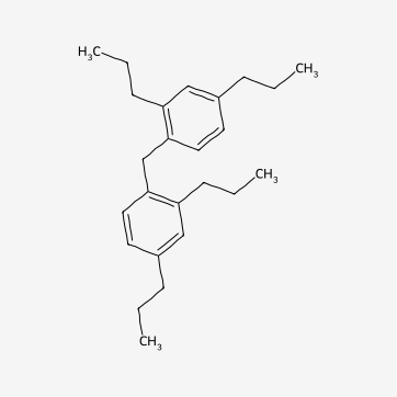 CCCc1ccc(Cc2ccc(CCC)cc2CCC)c(CCC)c1